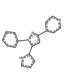 c1ccc(-n2nc(-c3ccncc3)cc2-c2ccc[nH]2)cc1